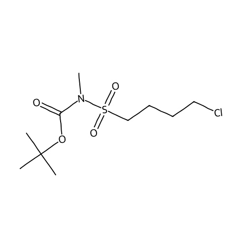 CN(C(=O)OC(C)(C)C)S(=O)(=O)CCCCCl